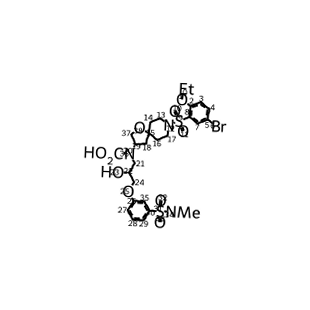 CCOc1ccc(Br)cc1S(=O)(=O)N1CCC2(CC1)C[C@H](N(C[C@H](O)COc1cccc(S(=O)(=O)NC)c1)C(=O)O)CO2